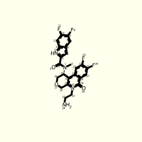 CN(C(=O)c1cc2cc(F)c(F)cc2[nH]1)[C@H]1COCc2c1c1cc(F)c(F)cc1c(=O)n2CCN